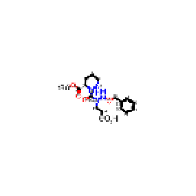 CC(C)(C)OC(=O)[C@@H]1CCCNN1C(=O)N(CCC(=O)O)NOCc1ccccc1